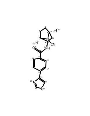 N#CN1[C@H]2CC[C@@H]1[C@H](NC(=O)c1ccc(-c3cscn3)cc1)C2